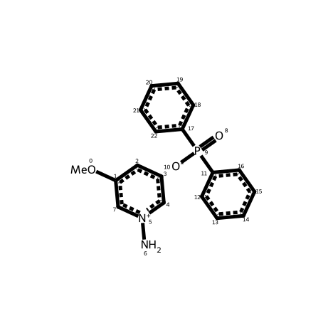 COc1ccc[n+](N)c1.O=P([O-])(c1ccccc1)c1ccccc1